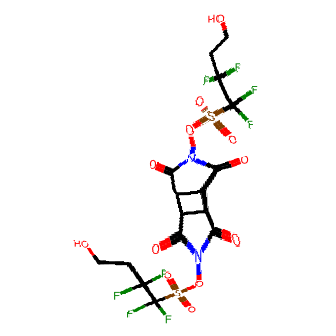 O=C1C2C(C(=O)N1OS(=O)(=O)C(F)(F)C(F)(F)CCO)C1C(=O)N(OS(=O)(=O)C(F)(F)C(F)(F)CCO)C(=O)C21